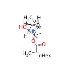 [CH2]C(CCCCCC)C(=O)O[C@@]12CC[C@H](C[C@@H]1O)[C@@H](C)N2